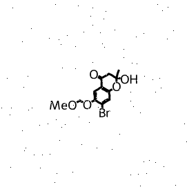 COCOc1cc2c(cc1Br)OC(C)(O)CC2=O